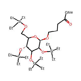 CC[Si](CC)(CC)OCC1O[C@@H](OCCCC(=O)OC)C(O[Si](CC)(CC)CC)C(O[Si](CC)(CC)CC)[C@@H]1O[Si](CC)(CC)CC